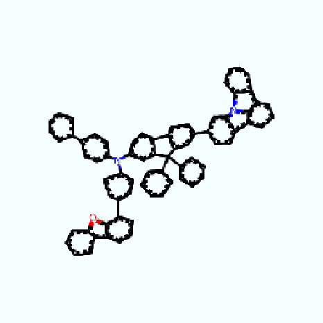 c1ccc(-c2ccc(N(c3ccc(-c4cccc5c4oc4ccccc45)cc3)c3ccc4c(c3)C(c3ccccc3)(c3ccccc3)c3cc(-c5ccc6c7cccc8c9ccccc9n(c6c5)c87)ccc3-4)cc2)cc1